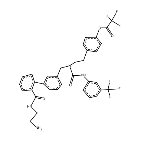 NCCNC(=O)c1ccccc1-c1cccc(CN(CCc2ccc(OC(=O)C(F)(F)F)cc2)C(=O)Nc2cccc(C(F)(F)F)c2)c1